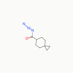 [N-]=[N+]=NC(=O)C1CCC2(CC1)CC2